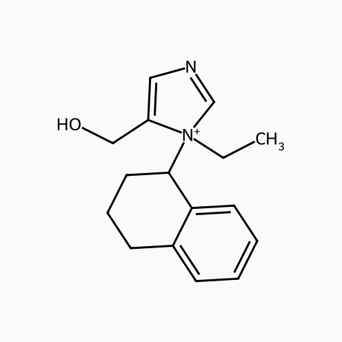 CC[N+]1(C2CCCc3ccccc32)C=NC=C1CO